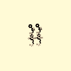 CCCCc1cc(=O)n2nc(NCc3cc(-c4ccccc4)on3)nc2[nH]1.CCCCc1cc(=O)n2nc(NCc3cc(-c4ccccc4)on3)nc2[nH]1